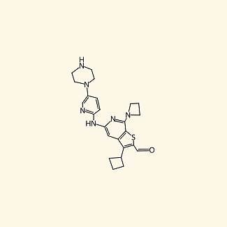 O=Cc1sc2c(N3CCC3)nc(Nc3ccc(N4CCNCC4)cn3)cc2c1C1CCC1